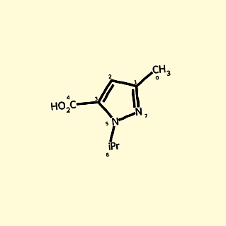 Cc1cc(C(=O)O)n(C(C)C)n1